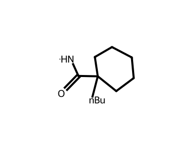 CCCCC1(C([NH])=O)CCCCC1